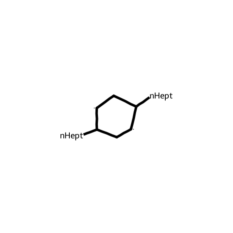 CCCCCCCC1[CH]CC(CCCCCCC)[CH]C1